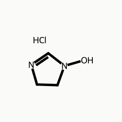 Cl.ON1C=NCC1